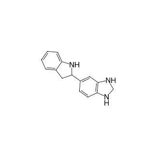 c1ccc2c(c1)CC(c1ccc3c(c1)NCN3)N2